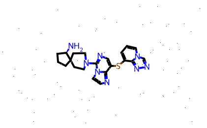 N[C@@H]1CCCC12CCN(c1ncc(Sc3cccn4cnnc34)c3nccn13)CC2